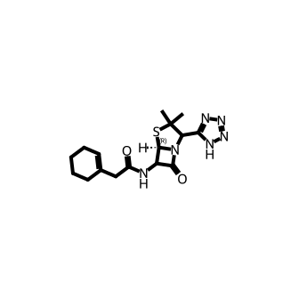 CC1(C)S[C@@H]2C(NC(=O)CC3=CCCCC3)C(=O)N2C1c1nnn[nH]1